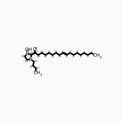 CCCCCCCCC=CCCCCCCCC(=O)C1N(O)CCN1CCCC